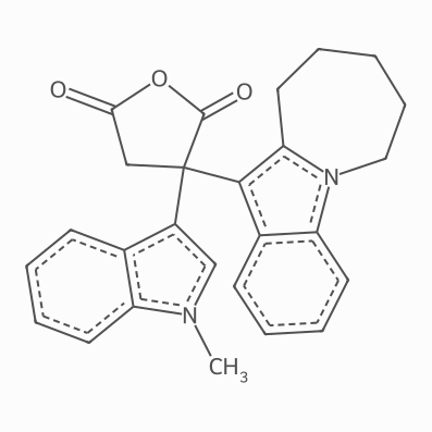 Cn1cc(C2(c3c4n(c5ccccc35)CCCCC4)CC(=O)OC2=O)c2ccccc21